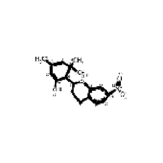 CC1=CC(C)(C)C(C2CCc3ccc([N+](=O)[O-])cc3O2)C(O)=C1